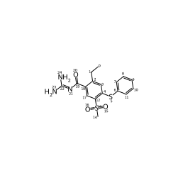 CCc1cc(Sc2ccccc2)c(S(C)(=O)=O)cc1C(=O)N=C(N)N